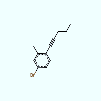 CCCC#Cc1ccc(Br)cc1C